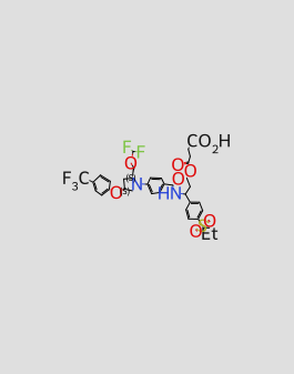 CCS(=O)(=O)c1ccc(C(CCOC(=O)CCC(=O)O)NC(=O)c2ccc(N3C[C@@H](Oc4ccc(C(F)(F)F)cc4)C[C@H]3COC(F)F)cc2)cc1